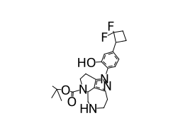 CC(C)(C)OC(=O)N1CCc2c3c(nn2-c2ccc(C4CCC4(F)F)cc2O)CCNCC31